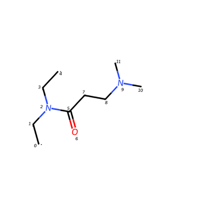 [CH2][CH]N([CH][CH2])C(=O)CCN(C)C